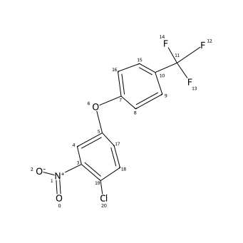 O=[N+]([O-])c1cc(Oc2ccc(C(F)(F)F)cc2)ccc1Cl